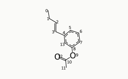 CCC=Cc1cccc(OC(C)=O)c1